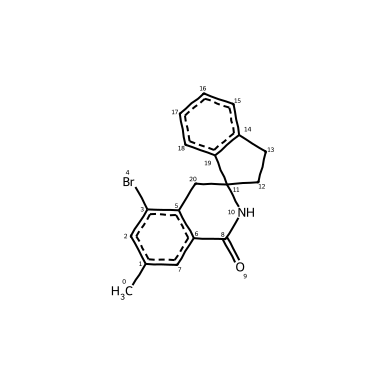 Cc1cc(Br)c2c(c1)C(=O)NC1(CCc3ccccc31)C2